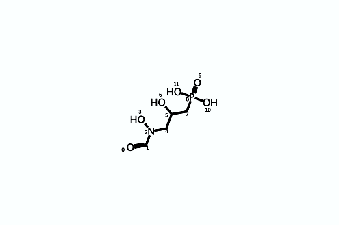 O=CN(O)CC(O)CP(=O)(O)O